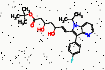 CC(C)n1c(C=CC(O)CC(O)CC(=O)OC(C)(C)C)c(-c2ccc(F)cc2)c2ncccc21